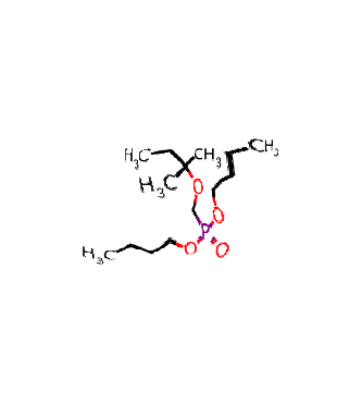 CCCCOP(=O)(COC(C)(C)CC)OCCCC